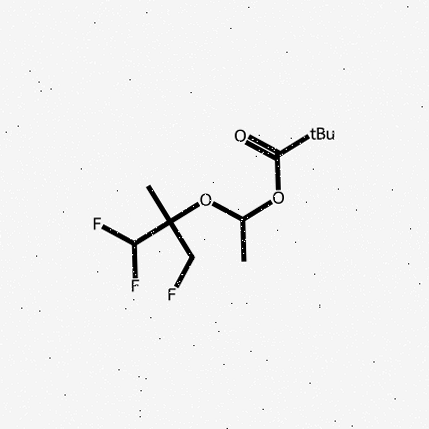 CC(OC(=O)C(C)(C)C)OC(C)(CF)C(F)F